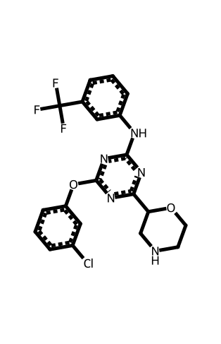 FC(F)(F)c1cccc(Nc2nc(Oc3cccc(Cl)c3)nc(C3CNCCO3)n2)c1